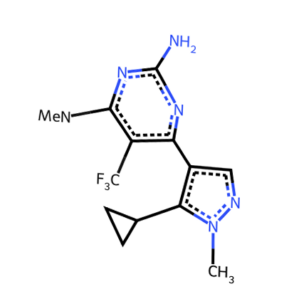 CNc1nc(N)nc(-c2cnn(C)c2C2CC2)c1C(F)(F)F